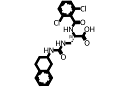 O=C(NC[C@H](NC(=O)c1c(Cl)cccc1Cl)C(=O)O)NC1CCc2ccccc2C1